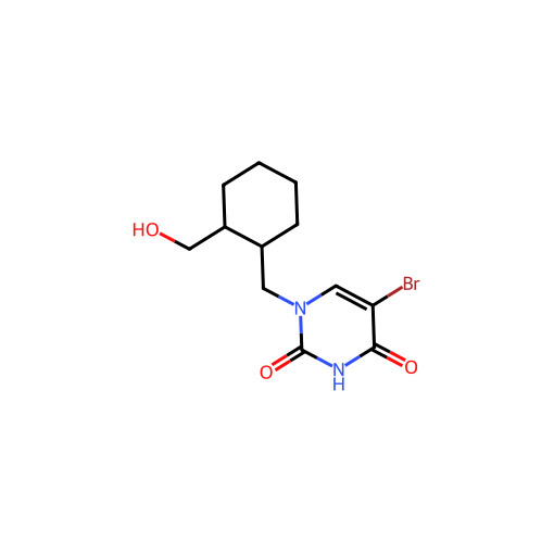 O=c1[nH]c(=O)n(CC2CCCCC2CO)cc1Br